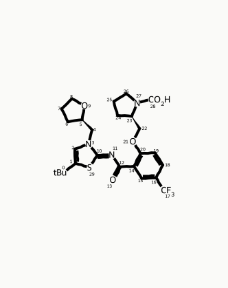 CC(C)(C)c1cn(C[C@H]2CCCO2)/c(=N/C(=O)c2cc(C(F)(F)F)ccc2OC[C@H]2CCCN2C(=O)O)s1